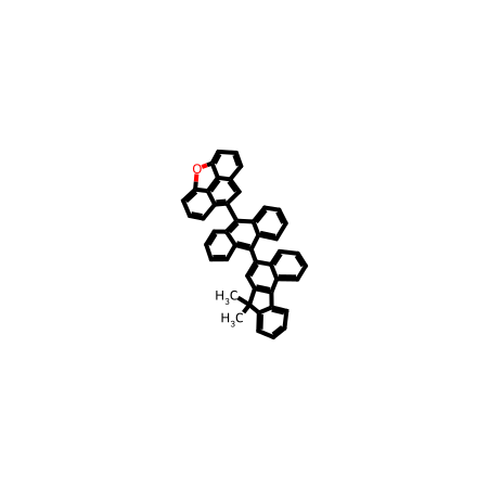 CC1(C)c2ccccc2-c2c1cc(-c1c3ccccc3c(-c3cc4cccc5oc6cccc3c6c45)c3ccccc13)c1ccccc21